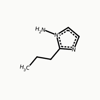 CCCc1nccn1N